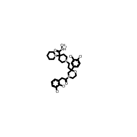 CNC(=O)C1(N2CCCCC2)CCN(CCC2(c3ccc(Cl)c(Cl)c3)CN(C(=O)Cc3cccc(Cl)c3Cl)CCO2)CC1